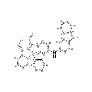 C=CC1=C(/C=C\C)C(c2ccccc2)(c2ccccc2)c2cc(Nc3ccc4sc5ccccc5c4c3)ccc21